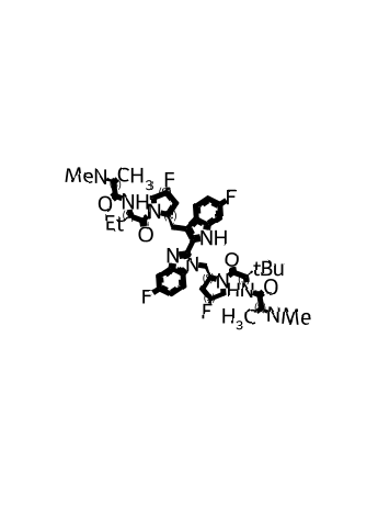 CC[C@H](NC(=O)[C@H](C)NC)C(=O)N1C[C@@H](F)C[C@H]1Cc1c(-c2nc3cc(F)ccc3n2C[C@@H]2C[C@H](F)CN2C(=O)[C@@H](NC(=O)[C@H](C)NC)C(C)(C)C)[nH]c2cc(F)ccc12